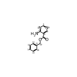 Nc1ncncc1C(=O)OCc1ccccc1